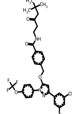 CC(C)(C)CC(=O)CCNC(=O)c1ccc(COc2cc(-c3cc(Cl)cc(Cl)c3)nn2-c2ccc(OC(F)(F)F)cc2)cc1